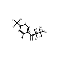 CC1=CC(C(C)(C)C)CC=C1NC(C)(C)C(C)(C)C